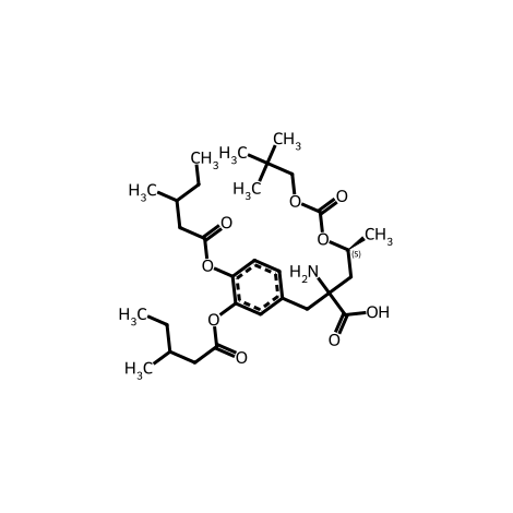 CCC(C)CC(=O)Oc1ccc(CC(N)(C[C@H](C)OC(=O)OCC(C)(C)C)C(=O)O)cc1OC(=O)CC(C)CC